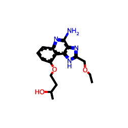 CCOCc1nc2c(N)nc3cccc(OCCC(C)O)c3c2[nH]1